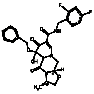 C[C@@H]1CO[C@H]2CN3C=C(C(=O)NCc4ccc(F)cc4F)C(=O)C(O)(OCc4ccccc4)C3C(=O)N12